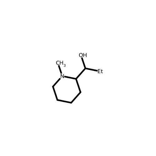 CCC(O)C1CCCCN1C